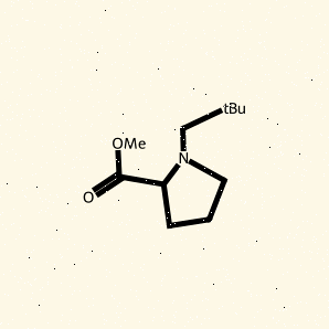 COC(=O)C1CCCN1CC(C)(C)C